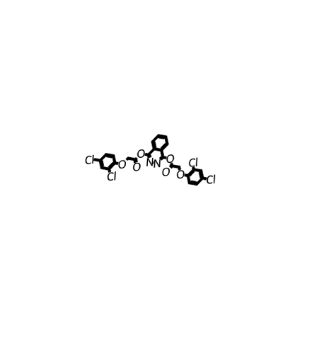 O=C(COc1ccc(Cl)cc1Cl)Oc1nnc(OC(=O)COc2ccc(Cl)cc2Cl)c2ccccc12